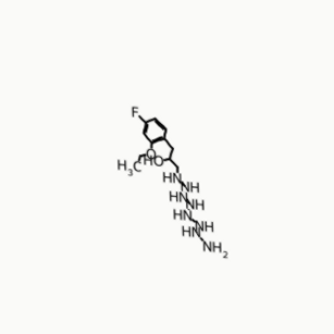 CCOc1cc(F)ccc1CC(O)CNNNNNNNN